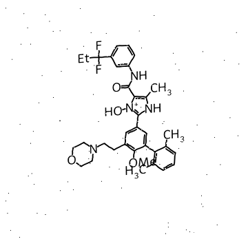 CCC(F)(F)c1cccc(NC(=O)c2c(C)[nH]c(-c3cc(CCN4CCOCC4)c(OC)c(-c4c(C)cccc4C)c3)[n+]2O)c1